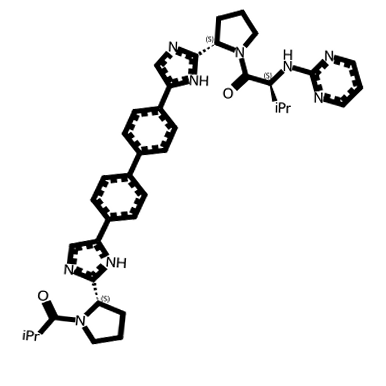 CC(C)C(=O)N1CCC[C@H]1c1ncc(-c2ccc(-c3ccc(-c4cnc([C@@H]5CCCN5C(=O)[C@@H](Nc5ncccn5)C(C)C)[nH]4)cc3)cc2)[nH]1